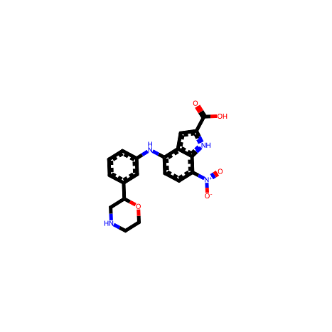 O=C(O)c1cc2c(Nc3cccc(C4CNCCO4)c3)ccc([N+](=O)[O-])c2[nH]1